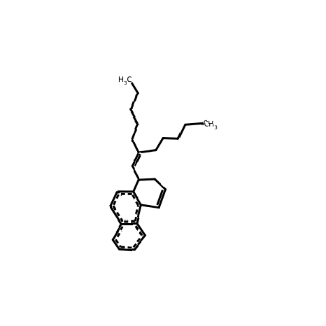 CCCCCC(=CC1CC=Cc2c1ccc1ccccc21)CCCCC